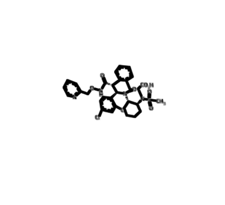 CS(=O)(=O)N(CC(=O)O)[C@H]1CCCC[C@@H]1N1C(=O)c2ccccc2[C@@H](C(=O)NOCc2ccccn2)[C@@H]1c1ccc(Cl)cc1Cl